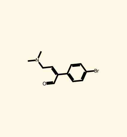 CN(C)CC=C(C=O)c1ccc(Br)cc1